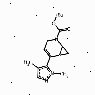 Cc1cnn(C)c1C1=CCN(C(=O)OC(C)(C)C)C2CC12